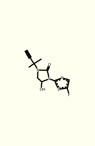 C#CC(C)(C)N1CC(O)N(c2ncc(F)s2)C1=O